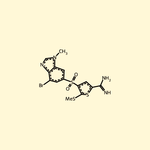 CSc1sc(C(=N)N)cc1S(=O)(=O)c1cc(Br)c2ncn(C)c2c1